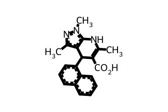 CC1=C(C(=O)O)C(c2cccc3ccccc23)c2c(C)nn(C)c2N1